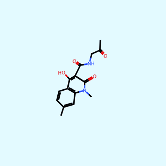 CC(=O)CNC(=O)c1c(O)c2ccc(C)cc2n(C)c1=O